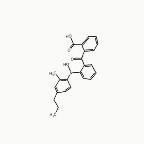 CCCc1ccc(N(O)c2ccccc2C(=O)c2ccccc2C(=O)O)c(C)c1